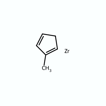 CC1=CCC=C1.[Zr]